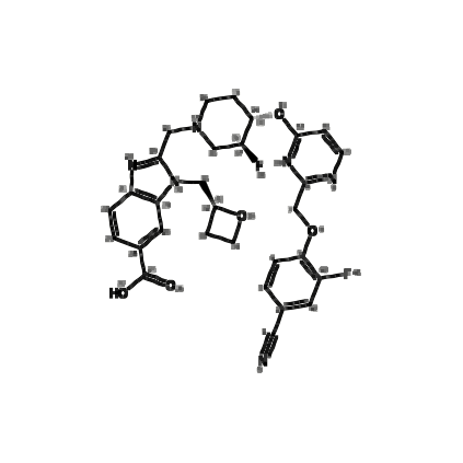 N#Cc1ccc(OCc2nccc(O[C@H]3CCN(Cc4nc5ccc(C(=O)O)cc5n4C[C@@H]4CCO4)C[C@@H]3F)n2)c(F)c1